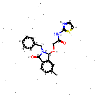 Cc1ccc2c(c1)C(OCC(=O)Nc1nccs1)N(Cc1ccccc1)C2=O